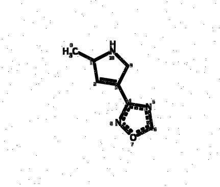 CC1C=C(c2n[c]on2)CN1